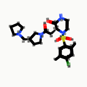 Cc1cc(S(=O)(=O)N2C=CNC(=O)[C@H]2CC(=O)N2CC[C@H](CN3CCCC3)C2)c(C)cc1Cl